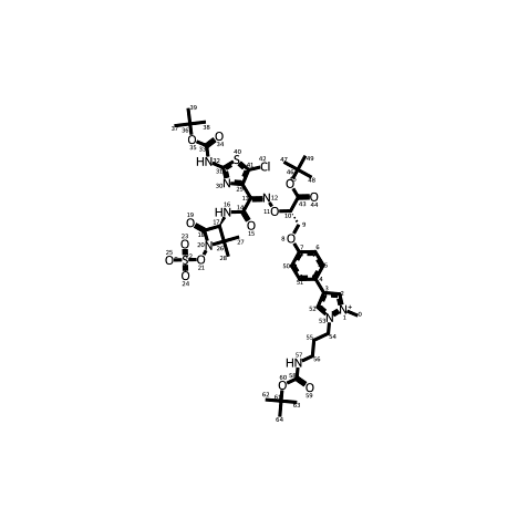 C[n+]1cc(-c2ccc(OC[C@H](O/N=C(\C(=O)N[C@@H]3C(=O)N(OS(=O)(=O)[O-])C3(C)C)c3nc(NC(=O)OC(C)(C)C)sc3Cl)C(=O)OC(C)(C)C)cc2)cn1CCCNC(=O)OC(C)(C)C